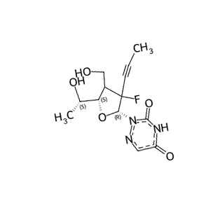 CC#CC1(F)C(CO)[C@@H]([C@H](C)O)O[C@H]1n1ncc(=O)[nH]c1=O